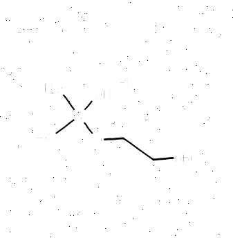 CCCCCCO[Si](O)(O)O.[Rb]